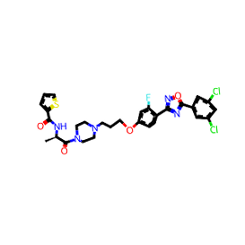 C[C@@H](NC(=O)c1cccs1)C(=O)N1CCN(CCCOc2ccc(-c3noc(-c4cc(Cl)cc(Cl)c4)n3)c(F)c2)CC1